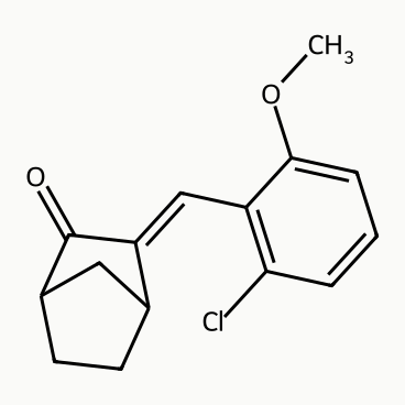 COc1cccc(Cl)c1C=C1C(=O)C2CCC1C2